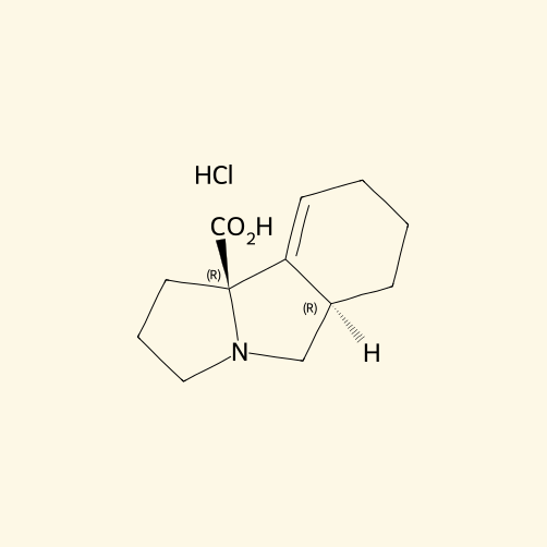 Cl.O=C(O)[C@]12CCCN1C[C@@H]1CCCC=C12